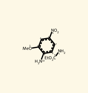 CCOC(N)=O.COc1cc([N+](=O)[O-])ccc1N